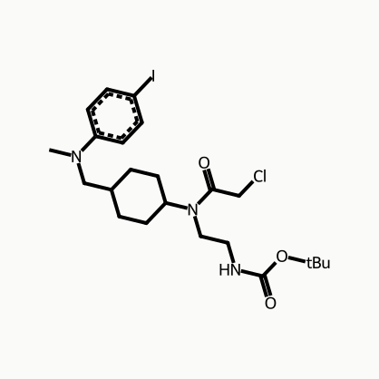 CN(CC1CCC(N(CCNC(=O)OC(C)(C)C)C(=O)CCl)CC1)c1ccc(I)cc1